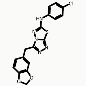 Clc1ccc(Nc2nn3c(Cc4ccc5c(c4)OCO5)nnc3s2)cc1